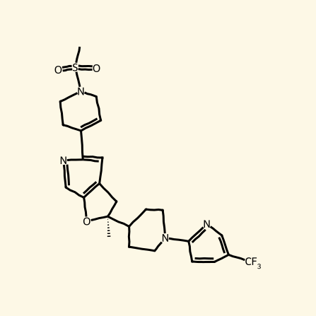 C[C@@]1(C2CCN(c3ccc(C(F)(F)F)cn3)CC2)Cc2cc(C3=CCN(S(C)(=O)=O)CC3)ncc2O1